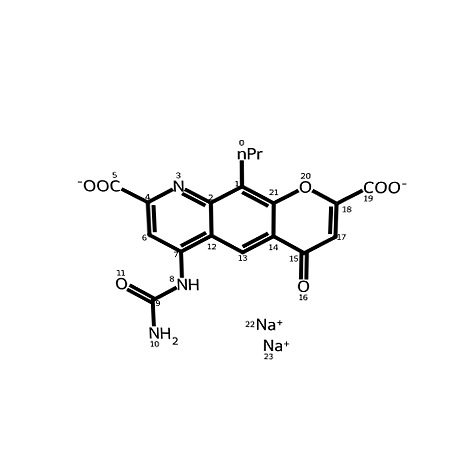 CCCc1c2nc(C(=O)[O-])cc(NC(N)=O)c2cc2c(=O)cc(C(=O)[O-])oc12.[Na+].[Na+]